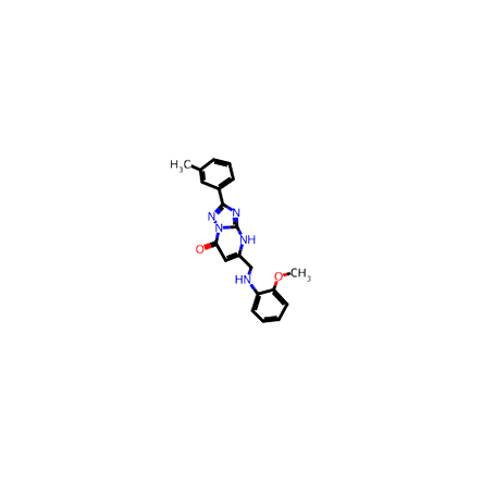 COc1ccccc1NCc1cc(=O)n2nc(-c3cccc(C)c3)nc2[nH]1